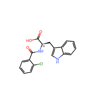 O=C(N[C@H](Cc1c[nH]c2ccccc12)C(=O)O)c1ccccc1Cl